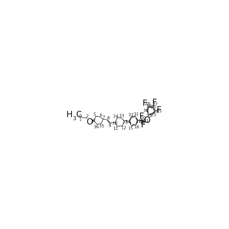 CCCOC1CCC(/C=C/C2CCC(c3ccc(C(F)(F)Oc4cc(F)c(F)c(F)c4)cc3)CC2)CC1